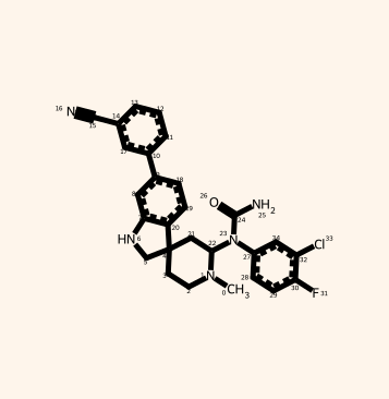 CN1CCC2(CNc3cc(-c4cccc(C#N)c4)ccc32)CC1N(C(N)=O)c1ccc(F)c(Cl)c1